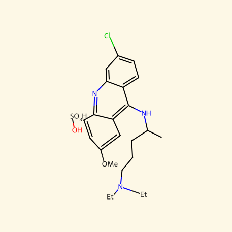 CCN(CC)CCCC(C)Nc1c2ccc(Cl)cc2nc2ccc(OC)cc12.O=S(=O)(O)O